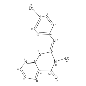 CCc1ccc(/N=c2\sc3ncccc3c(=O)n2CC)cc1